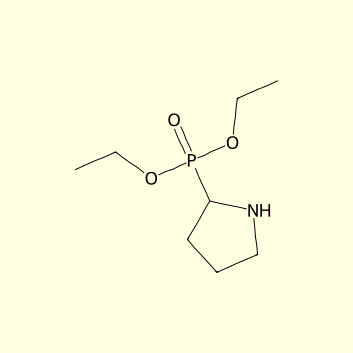 CCOP(=O)(OCC)C1CCCN1